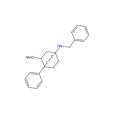 COC1CC2(NCc3ccccc3)CCC1(c1ccccc1)CC2